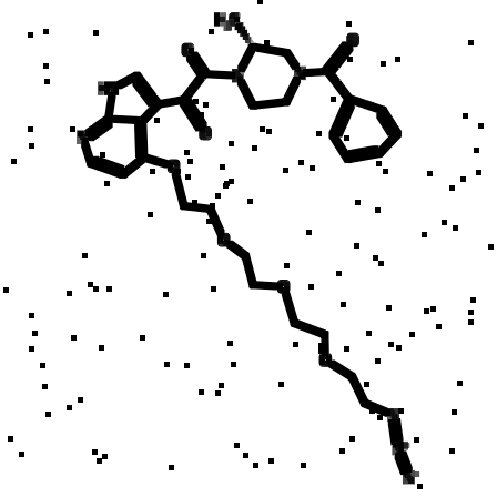 C[C@@H]1CN(C(=O)c2ccccc2)CCN1C(=O)C(=O)c1c[nH]c2nccc(OCCOCCOCCOCCN=[N+]=[N-])c12